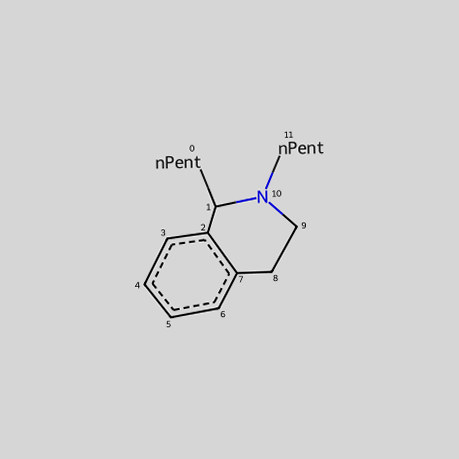 CCCCCC1c2ccccc2CCN1CCCCC